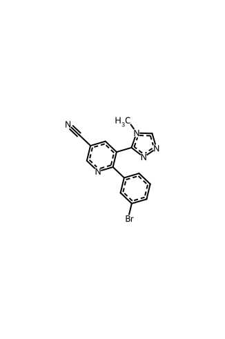 Cn1cnnc1-c1cc(C#N)cnc1-c1cccc(Br)c1